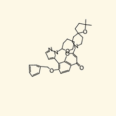 CC1(C)CCC2(CCN(c3cc(=O)c4ccc(OCc5ccccc5)c(-c5ccnn5C5CCCCO5)c4o3)CC2)O1